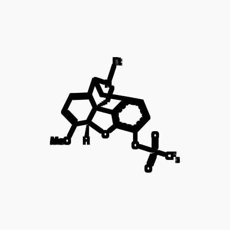 CCN1CC[C@@]23C4=CC=C(OC)[C@@H]2Oc2c(OS(=O)(=O)C(F)(F)F)ccc(c23)CC41